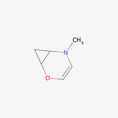 CN1C=COC2CC21